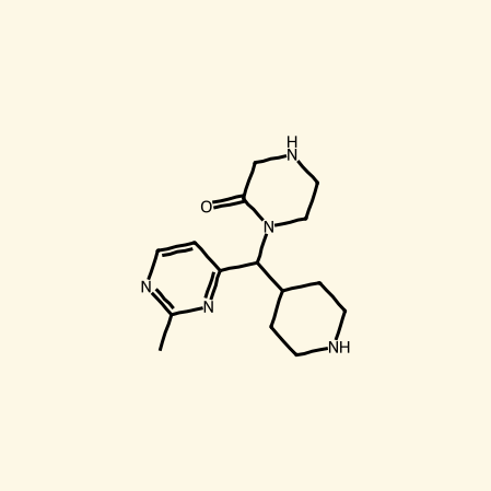 Cc1nccc(C(C2CCNCC2)N2CCNCC2=O)n1